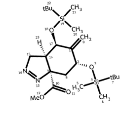 C=C1[C@H](O[Si](C)(C)C(C)(C)C)C[C@@]2(C(=O)OC)N=NC[C@H]2[C@H]1O[Si](C)(C)C(C)(C)C